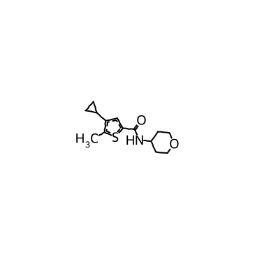 Cc1sc(C(=O)NC2CCOCC2)cc1C1CC1